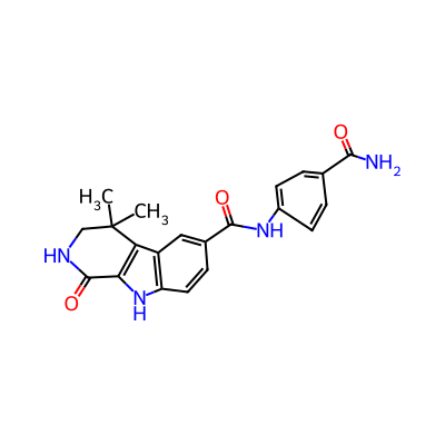 CC1(C)CNC(=O)c2[nH]c3ccc(C(=O)Nc4ccc(C(N)=O)cc4)cc3c21